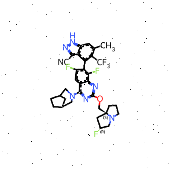 Cc1cc2[nH]nc(C#N)c2c(-c2c(F)cc3c(N4CC5CCC(C5)C4)nc(OC[C@@]45CCCN4C[C@H](F)C5)nc3c2F)c1C(F)(F)F